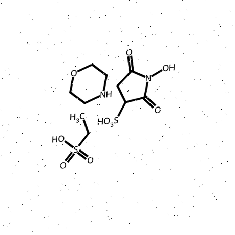 C1COCCN1.CCS(=O)(=O)O.O=C1CC(S(=O)(=O)O)C(=O)N1O